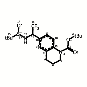 CC(C)(C)OC(=O)N1CCCc2nc(C(N[S+]([O-])C(C)(C)C)C(F)(F)F)ccc21